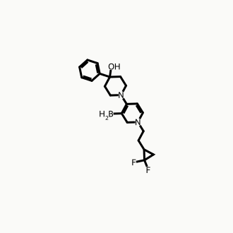 BC1=C(N2CCC(O)(c3ccccc3)CC2)C=CN(CCC2CC2(F)F)C1